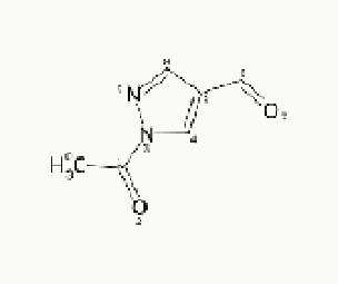 CC(=O)n1cc(C=O)cn1